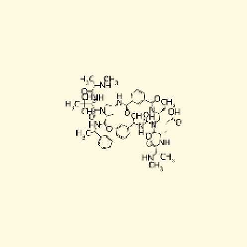 CC[C@@H](CN(C(=O)N[C@H](C)c1ccccc1)C(=O)[C@H](CCC(=O)O)NC(=O)[C@H](C)NC)NC(=O)c1cccc(C(=O)N[C@H]2C[C@@H](C(=O)N[C@H](C)c3ccccc3)N(C(=O)[C@@H](NC(=O)[C@H](C)NC)C(C)(C)C)C2)c1